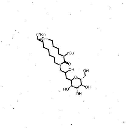 CCCCCCCCCC=CCCCCCN(CC(O)CC1O[C@H](CO)[C@@H](O)[C@H](O)[C@H]1O)C(=O)C(CCCC)CCCCCCCCCCCCCC